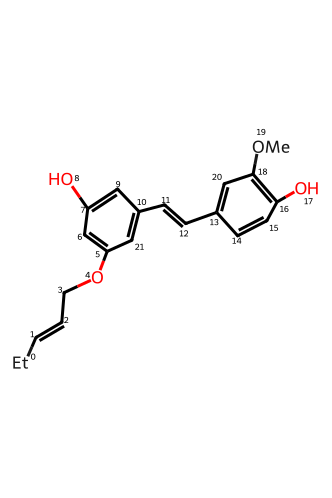 CC/C=C/COc1cc(O)cc(/C=C/c2ccc(O)c(OC)c2)c1